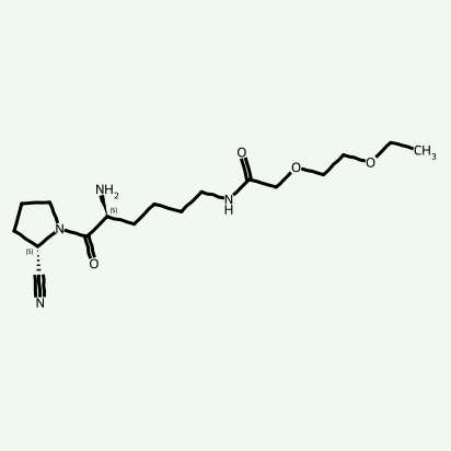 CCOCCOCC(=O)NCCCC[C@H](N)C(=O)N1CCC[C@H]1C#N